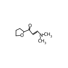 CN(C)/C=C/C(=O)C1CCCO1